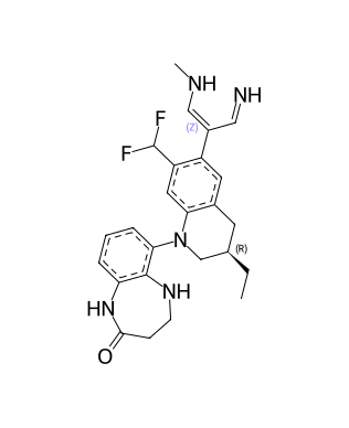 CC[C@@H]1Cc2cc(/C(C=N)=C/NC)c(C(F)F)cc2N(c2cccc3c2NCCC(=O)N3)C1